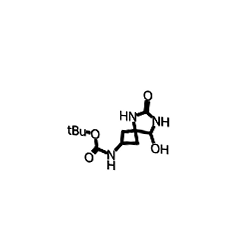 CC(C)(C)OC(=O)NC1CC2(C1)NC(=O)NC2O